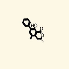 Cc1cc(-c2ccccc2)c(O)c2c1C[C@@H](C)OC2=O